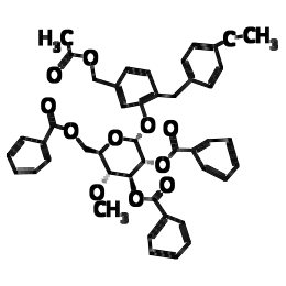 CCc1ccc(Cc2ccc(COC(C)=O)cc2O[C@H]2O[C@H](COC(=O)c3ccccc3)[C@@H](OC)[C@H](OC(=O)c3ccccc3)[C@H]2OC(=O)c2ccccc2)cc1